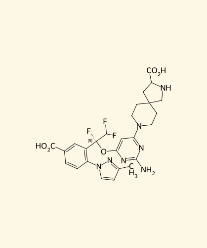 Cc1ccn(-c2ccc(C(=O)O)cc2[C@](F)(Oc2cc(N3CCC4(CC3)CNC(C(=O)O)C4)nc(N)n2)C(F)F)n1